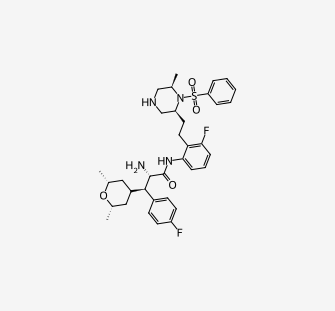 C[C@@H]1CC([C@H](c2ccc(F)cc2)[C@H](N)C(=O)Nc2cccc(F)c2CC[C@H]2CNC[C@@H](C)N2S(=O)(=O)c2ccccc2)C[C@H](C)O1